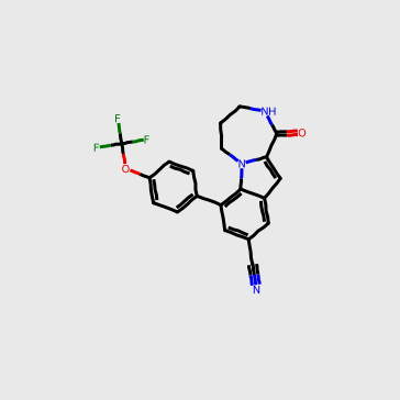 N#Cc1cc(-c2ccc(OC(F)(F)F)cc2)c2c(c1)cc1n2CCCNC1=O